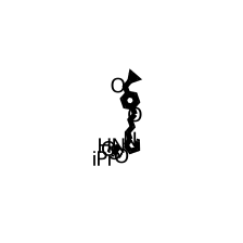 CC(C)S(=O)(=O)NC1CCCN1CCCOc1ccc(C(=O)C2CC2)cc1